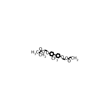 C=CC(=O)O/C=C\Oc1ccc(-c2ccc(O/C=C\OC(=O)C(=C)C)cc2C(F)(F)F)cc1